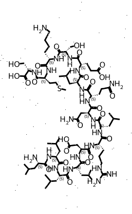 CSCC[C@H](NC(=O)[C@H](CCCCN)NC(=O)[C@H](CO)NC(=O)[C@H](CCC(=O)O)NC(=O)[C@H](CC(C)C)NC(=O)[C@H](CCC(N)=O)NC(=O)[C@H](CC(N)=O)NC(=O)[C@H](CC(C)C)NC(=O)[C@H](CCCNC(=N)N)NC(=O)[C@H](CC(=O)O)NC(=O)[C@H](CC(C)C)NC(=O)[C@H](CC(C)C)NC(=O)[C@H](CC(C)C)NC(=O)[C@@H](N)CC(C)C)C(=O)N[C@@H](CO)C(=O)O